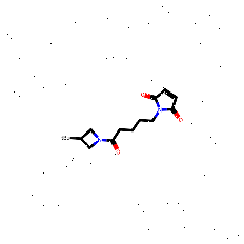 CC(C)(C)C1CN(C(=O)CCCCN2C(=O)C=CC2=O)C1